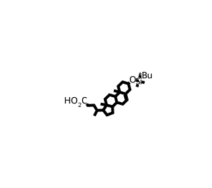 CC(CCC(=O)O)C1CCC2C3CC=C4CC(O[Si](C)(C)C(C)(C)C)CCC4(C)C3CCC12C